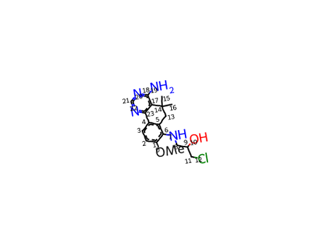 COc1ccc2c(c1NCC(O)CCl)CC(C)(C)c1c(N)ncnc1-2